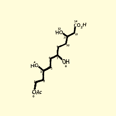 CC(=O)OCCC(O)CCC(O)CCC(O)CC(=O)O